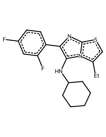 CCc1csc2nc(-c3ccc(F)cc3F)c(NC3CCCCC3)n12